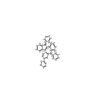 c1ccc(-c2cccc(-n3c4ccccc4c4ccc5c6ccccc6n6c7ccccc7cc6c5c43)c2)cc1